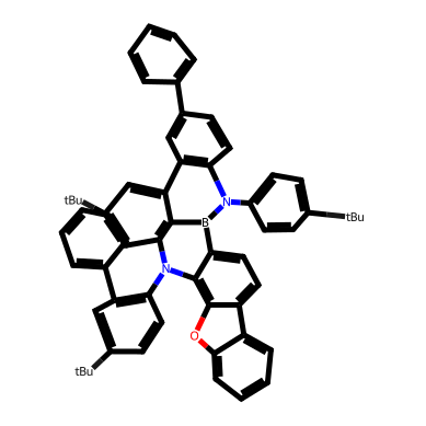 CC(C)(C)c1ccc(N2B3c4ccc5c(oc6ccccc65)c4N(c4ccc(C(C)(C)C)cc4-c4ccccc4)c4cc(C(C)(C)C)cc(c43)-c3cc(-c4ccccc4)ccc32)cc1